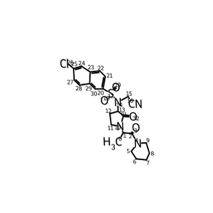 CC(C(=O)N1CCCCC1)N1CCC(N(CC#N)S(=O)(=O)c2ccc3cc(Cl)ccc3c2)C1=O